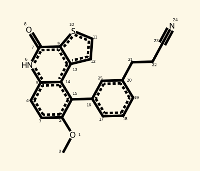 COc1ccc2[nH]c(=O)c3sccc3c2c1-c1cccc(CCC#N)c1